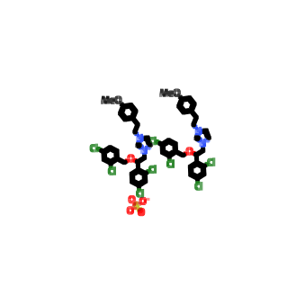 COc1ccc(CCn2cc[n+](CC(OCc3ccc(Cl)cc3Cl)c3ccc(Cl)cc3Cl)c2)cc1.COc1ccc(CCn2cc[n+](CC(OCc3ccc(Cl)cc3Cl)c3ccc(Cl)cc3Cl)c2)cc1.O=S(=O)([O-])[O-]